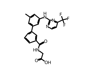 Cc1cc(Nc2nccc(C(F)(F)F)n2)cc(-c2cccc(C(=O)NCC(=O)O)c2)c1